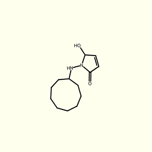 O=C1C=CC(O)N1NC1CCCCCCCC1